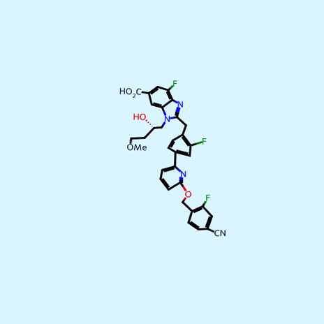 COCC[C@H](O)Cn1c(Cc2ccc(-c3cccc(OCc4ccc(C#N)cc4F)n3)cc2F)nc2c(F)cc(C(=O)O)cc21